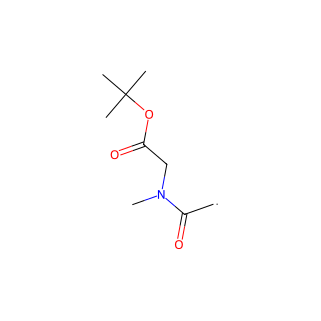 [CH2]C(=O)N(C)CC(=O)OC(C)(C)C